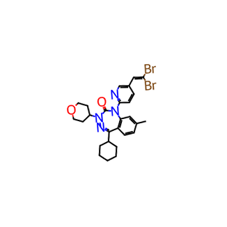 Cc1ccc2c(c1)N(c1ccc(C=C(Br)Br)cn1)C(=O)N(C1CCOCC1)N=C2C1CCCCC1